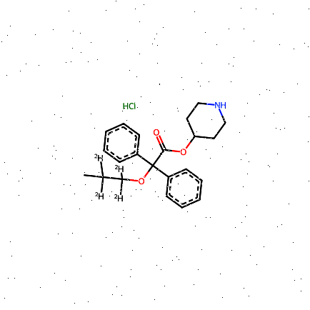 Cl.[2H]C([2H])(C)C([2H])([2H])OC(C(=O)OC1CCNCC1)(c1ccccc1)c1ccccc1